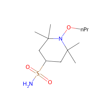 CCCON1C(C)(C)CC(S(N)(=O)=O)CC1(C)C